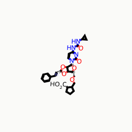 O=C(Nc1ccn([C@@H]2O[C@H](COCC3CCCC3C(=O)O)C3O[C@H](/C=C/c4ccccc4)OC32)c(=O)n1)NC1CC1